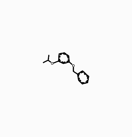 CC(C)Oc1cccc(OCc2ccccc2)c1